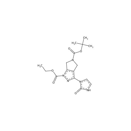 CCOC(=O)n1nc(-n2cc[nH]c2=O)c2c1CN(C(=O)OC(C)(C)C)C2